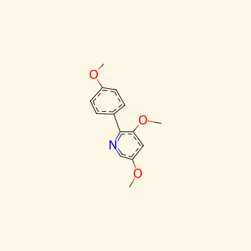 COc1ccc(-c2ncc(OC)cc2OC)cc1